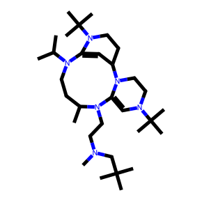 CC(C)N1CCC(C)N(CCN(C)CC(C)(C)C)C2=CN(C(C)(C)C)CCN2C2C=C1N(C(C)(C)C)CC2